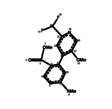 CNc1ccc(C(=O)OC)c(-c2cc(C(F)F)ncc2OC)c1